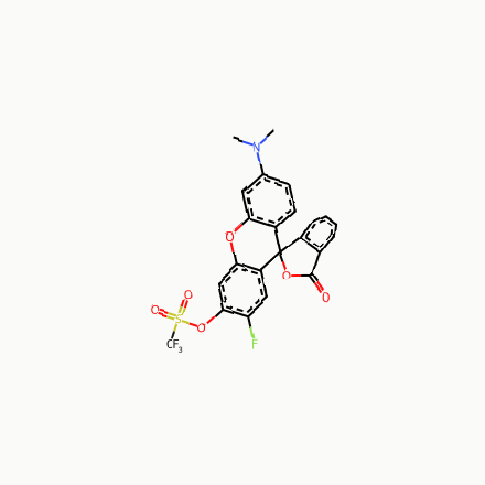 CN(C)c1ccc2c(c1)Oc1cc(OS(=O)(=O)C(F)(F)F)c(F)cc1C21OC(=O)c2ccccc21